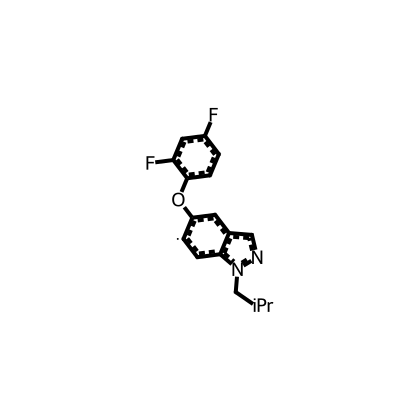 CC(C)Cn1ncc2cc(Oc3ccc(F)cc3F)[c]cc21